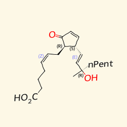 CCCCC[C@@](C)(O)/C=C/[C@H]1C=CC(=O)[C@@H]1C/C=C\CCCC(=O)O